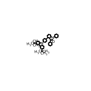 CC(C)(C)c1ccc2c(c1)c1cc(C(C)(C)C)ccc1n2-c1ccc(-c2cccc3c2c2c4ccccc4oc2n3-c2ccccc2)cc1